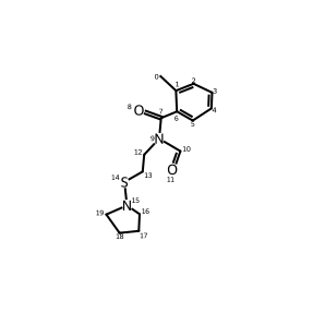 Cc1ccccc1C(=O)N(C=O)CCSN1CCCC1